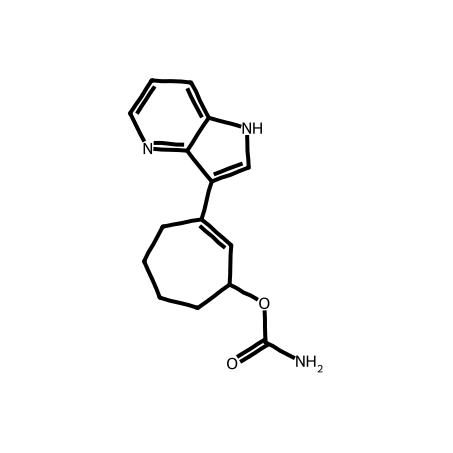 NC(=O)OC1C=C(c2c[nH]c3cccnc23)CCCC1